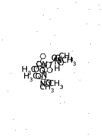 COC[C@@]12CN(C)C[C@]1(COC)CN(C(=O)[C@@H]1CC=CC3=C4C(=C4C(=O)NS(=O)(=O)C(C)C)Cn4c(cc5c(OC)ccc(C6CCCCC6)c54)C31)C2